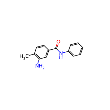 Cc1ccc(C(=O)Nc2ccccc2)cc1N